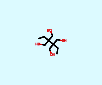 CCC(CO)(CO)C(CC)(CO)CO